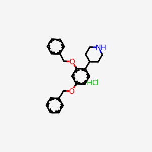 Cl.c1ccc(COc2ccc(C3CCNCC3)c(OCc3ccccc3)c2)cc1